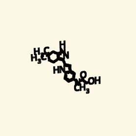 CN(C(=O)CO)c1ccc2[nH]c(-c3n[nH]c4c3CCC(C)(C)C4)cc2c1